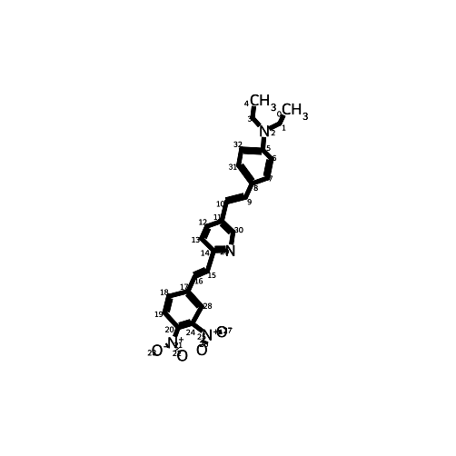 CCN(CC)c1ccc(C=Cc2ccc(C=Cc3ccc([N+](=O)[O-])c([N+](=O)[O-])c3)nc2)cc1